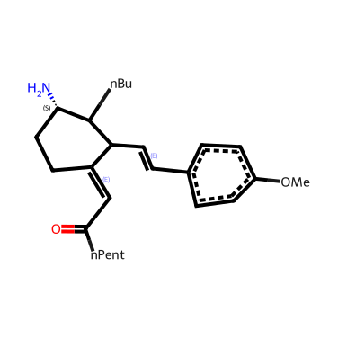 CCCCCC(=O)/C=C1\CC[C@H](N)C(CCCC)C1/C=C/c1ccc(OC)cc1